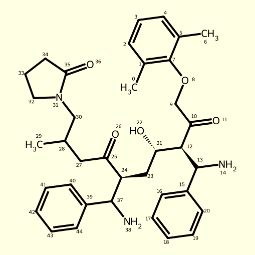 Cc1cccc(C)c1OCC(=O)[C@@H](C(N)c1ccccc1)[C@@H](O)C[C@H](C(=O)CC(C)CN1CCCC1=O)C(N)c1ccccc1